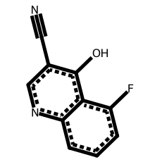 N#Cc1cnc2cccc(F)c2c1O